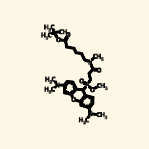 COP(=O)(CCC(=O)N(C)CCCCCC(=O)OC(C)(C)C)C1c2ccc(N(C)C)cc2Oc2cc(N(C)C)ccc21